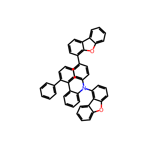 c1ccc(-c2ccccc2-c2ccccc2N(c2ccc(-c3cccc4c3oc3ccccc34)cc2)c2cccc3oc4ccccc4c23)cc1